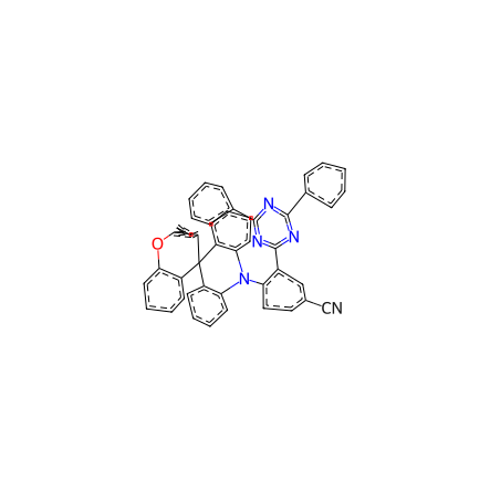 N#Cc1ccc(N2c3ccccc3C3(c4ccccc4Oc4ccccc43)c3ccccc32)c(-c2nc(-c3ccccc3)nc(-c3ccccc3)n2)c1